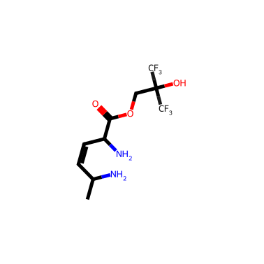 CC(N)/C=C\C(N)C(=O)OCC(O)(C(F)(F)F)C(F)(F)F